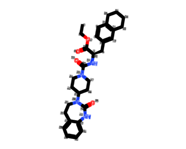 CCOC(=O)[C@@H](Cc1ccc2c(c1)CCCC2)NC(=O)N1CCC(N2CCc3ccccc3NC2=O)CC1